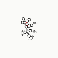 CC(C)(C)c1ccc(N2c3cc(N4c5ccccc5C5(c6ccccc6)Cc6ccccc6CC45C)ccc3B3c4cc5c(cc4N(c4ccc6c(c4)C(C)(C)CCC6(C)C)c4cc(C(C)(C)C)cc2c43)C(C)(C)CCC5(C)C)c(-c2ccccc2)c1